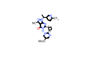 COc1cnc([C@H]2CC[C@@H]2c2nc3c(c(C#N)nn3C(C)c3ccc(C(F)(F)F)nc3)c(=O)[nH]2)nc1